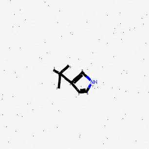 CC(C)(C)c1cc[nH]c1